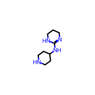 C1CN=C(NC2CCNCC2)NC1